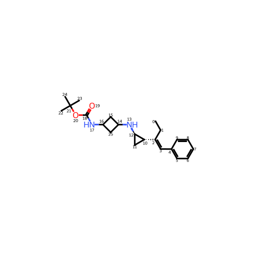 CC/C(=C\c1ccccc1)[C@@H]1C[C@H]1NC1CC(NC(=O)OC(C)(C)C)C1